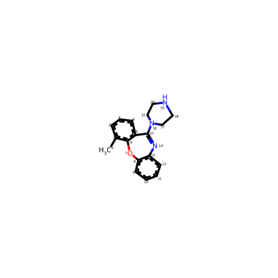 Cc1cccc2c1Oc1ccccc1N=C2N1CCNCC1